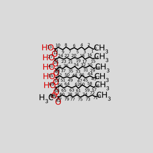 CCCCCCCCCCCC(=O)O.CCCCCCCCCCCC(=O)O.CCCCCCCCCCCC(=O)O.CCCCCCCCCCCC(=O)O.CCCCCCCCCCCC(=O)O.CCCCCCCCCCCC(=O)OC